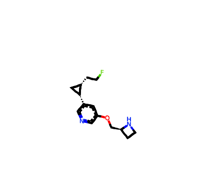 FCC[C@H]1C[C@H]1c1cncc(OC[C@@H]2CCN2)c1